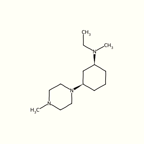 CCN(C)[C@H]1CCC[C@@H](N2CCN(C)CC2)C1